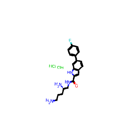 Cl.Cl.NCCC[C@@H](N)CNC(=O)c1cc2ccc(-c3ccc(F)cc3)cc2[nH]1